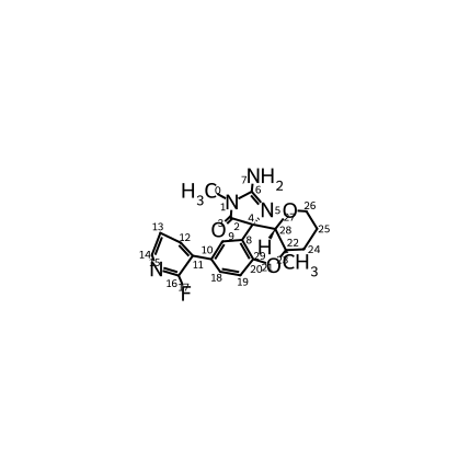 CN1C(=O)[C@]2(N=C1N)c1cc(-c3cccnc3F)ccc1O[C@@]1(C)CCCO[C@H]12